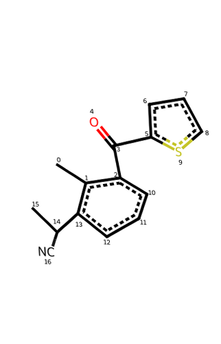 Cc1c(C(=O)c2cccs2)cccc1C(C)C#N